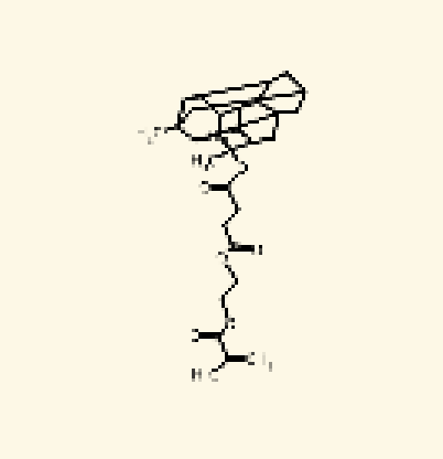 C=C(C)C(=O)OCCOC(=O)CCC(=O)OC1(C)C2CC34CC5CC6C7CC(C(C2O)C63)C1C4C7(C)C5